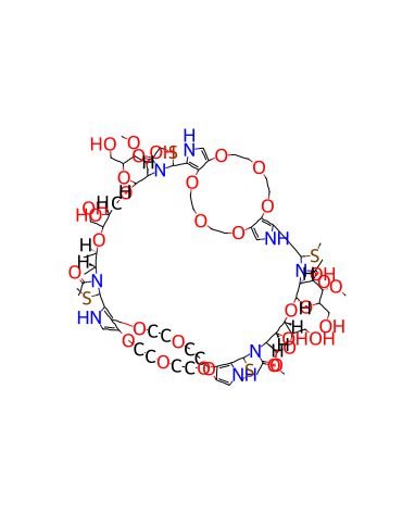 CO[C@@H]1OC(CO)[C@H]2O[C@@H]3OC(CO)[C@@H](OC)[C@H](O)[C@@H]3N(C(C)=O)C(SC)c3[nH]cc4c3OCCOCCOc3c[nH]c(c3OCCOCCO4)C3SCC(=O)N3[C@H]3[C@@H](OC[C@@H](O)C(CO)O[C@H](C)[C@@H](C)N(C(C)=O)C(SC)c4[nH]cc5c4OCCOCCOc4c[nH]c(c4OCCOCCO5)C(SC)N(C(C)=O)[C@H]1[C@H]2O)OC(CO)[C@H](OC)[C@H]3O